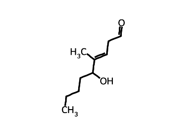 CCCCC(O)/C(C)=C/CC=O